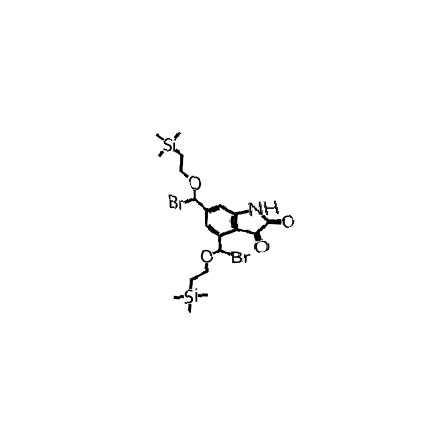 C[Si](C)(C)CCOC(Br)c1cc2c(c(C(Br)OCC[Si](C)(C)C)c1)C(=O)C(=O)N2